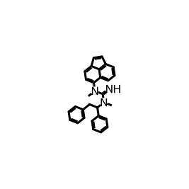 CN(C(=N)N(C)C(Cc1ccccc1)c1ccccc1)c1ccc2c3c(cccc13)C=C2